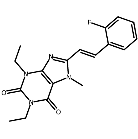 CCn1c(=O)c2c(nc(C=Cc3ccccc3F)n2C)n(CC)c1=O